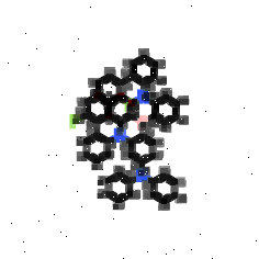 Cc1cc2c3c(c1)N(c1ccccc1-c1ccccc1F)c1cc(N(c4ccccc4)c4ccccc4)ccc1B3c1ccccc1N2c1ccccc1-c1ccccc1F